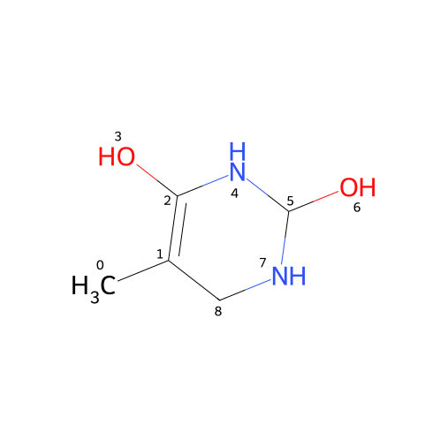 CC1=C(O)NC(O)NC1